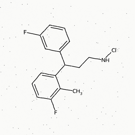 Cc1c(F)cccc1C(CCNCl)c1cccc(F)c1